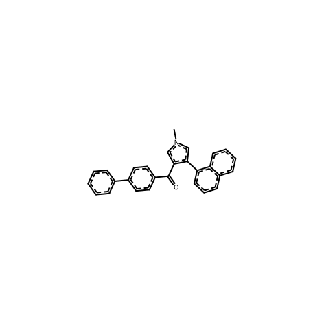 Cn1cc(C(=O)c2ccc(-c3ccccc3)cc2)c(-c2cccc3ccccc23)c1